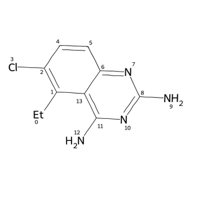 CCc1c(Cl)ccc2nc(N)nc(N)c12